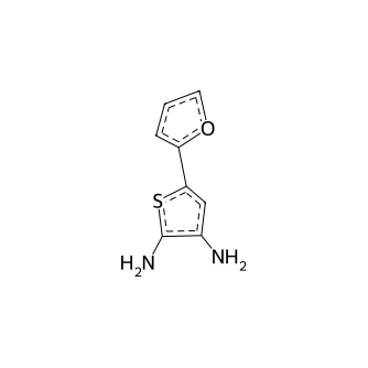 Nc1cc(-c2ccco2)sc1N